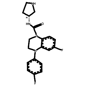 O=C(N[C@@H]1CCNC1)N1CCN(c2ccc(F)cc2)c2cc(F)ccc21